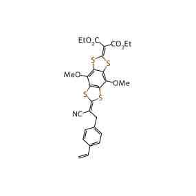 C=Cc1ccc(CC(C#N)=C2Sc3c(OC)c4c(c(OC)c3S2)SC(=C(C(=O)OCC)C(=O)OCC)S4)cc1